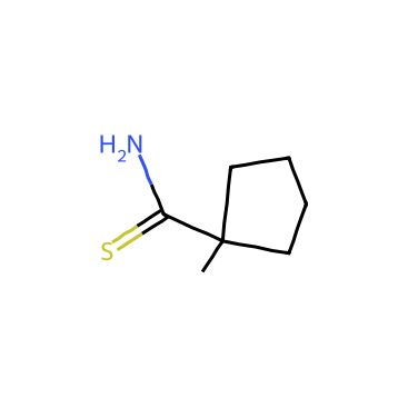 CC1(C(N)=S)CCCC1